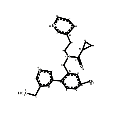 O=C(O)Cc1cncc(-c2ccc(C(F)(F)F)cc2CN(CCc2cccnc2)C(=O)C2CC2)c1